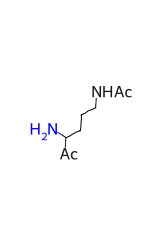 CC(=O)NCCCC(N)C(C)=O